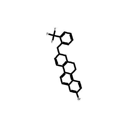 FC(F)(F)c1ccccc1CC1C=CC2=C(CCc3c2ccc2cc(Br)ccc32)C1